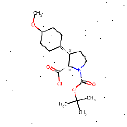 COC1CCC([C@@H]2CCN(C(=O)OC(C)(C)C)[C@@H]2C(=O)O)CC1